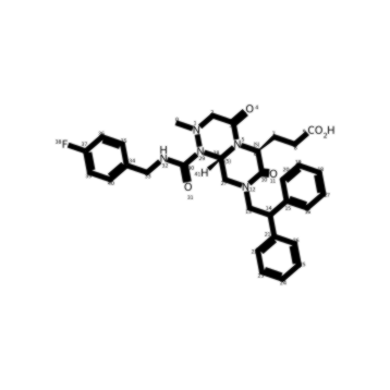 CN1CC(=O)N2[C@@H](CCC(=O)O)C(=O)N(CC(c3ccccc3)c3ccccc3)C[C@@H]2N1C(=O)NCc1ccc(F)cc1